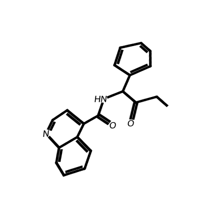 CCC(=O)C(NC(=O)c1ccnc2ccccc12)c1ccccc1